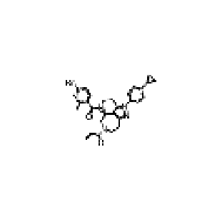 C=CC(=O)N1CCc2nn(-c3ccc(C4CC4)cc3)c3c2[C@@H](C1)N(C(=O)c1ccc(Br)nc1C)CC3